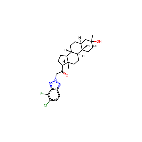 COC[C@]12CC[C@@](C)(O)C[C@@H]1CC[C@H]1[C@@H]3CC[C@H](C(=O)Cn4nc5ccc(Cl)c(F)c5n4)[C@@]3(C)CC[C@@H]12